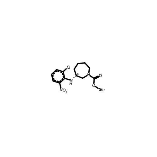 CC(C)(C)OC(=O)N1CCCC[C@@H](Nc2c(Cl)cccc2[N+](=O)[O-])C1